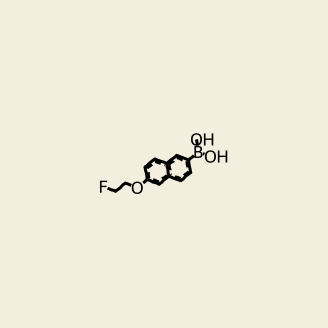 OB(O)c1ccc2cc(OCCF)ccc2c1